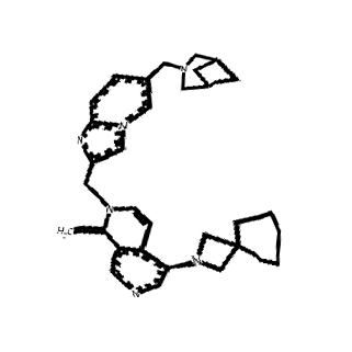 C=C1c2cncc(N3CC4(CCCCC4)C3)c2C=CN1Cc1cn2cc(CN3CC4CC(C4)C3)ccc2n1